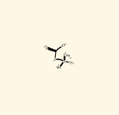 CC(C)(C)[Si](C)(C)OC(=O)Cl